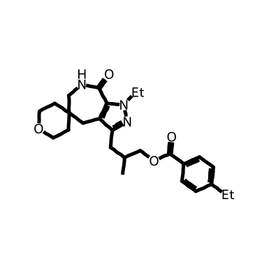 CCc1ccc(C(=O)OCC(C)Cc2nn(CC)c3c2CC2(CCOCC2)CNC3=O)cc1